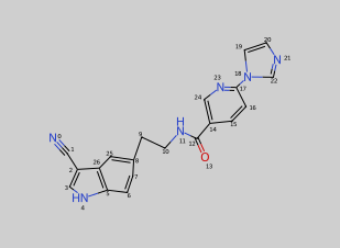 N#Cc1c[nH]c2ccc(CCNC(=O)c3ccc(-n4ccnc4)nc3)cc12